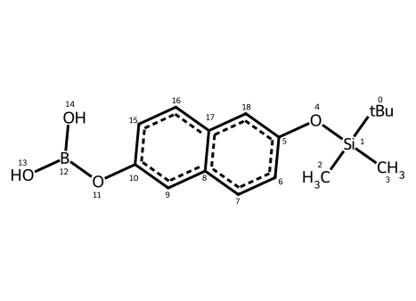 CC(C)(C)[Si](C)(C)Oc1ccc2cc(OB(O)O)ccc2c1